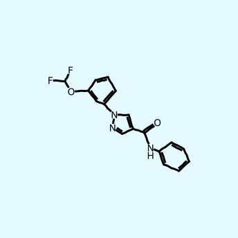 O=C(Nc1ccccc1)c1cnn(-c2cccc(OC(F)F)c2)c1